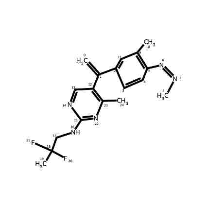 C=C(c1ccc(/N=N\C)c(C)c1)c1cnc(NCC(C)(F)F)nc1C